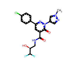 Cn1cc(-n2nc(-c3ccc(Cl)cc3)cc(C(=O)NC[C@H](O)C(F)F)c2=O)cn1